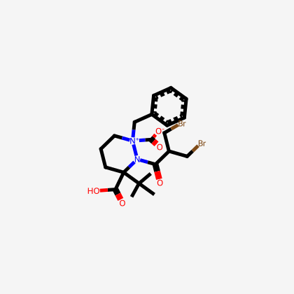 CC(C)(C)C1(C(=O)O)CCC[N+](Cc2ccccc2)(C(=O)[O-])N1C(=O)C(CBr)CBr